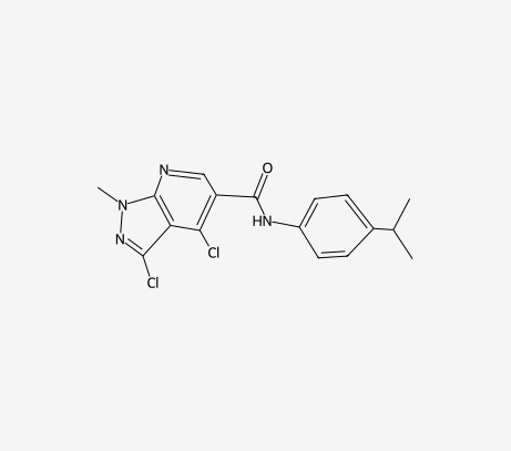 CC(C)c1ccc(NC(=O)c2cnc3c(c(Cl)nn3C)c2Cl)cc1